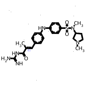 C/C(=C\c1ccc(Nc2ccc(S(=O)(=O)N(C)C3CCN(C)C3)cc2)cc1)C(=O)NC(=N)N